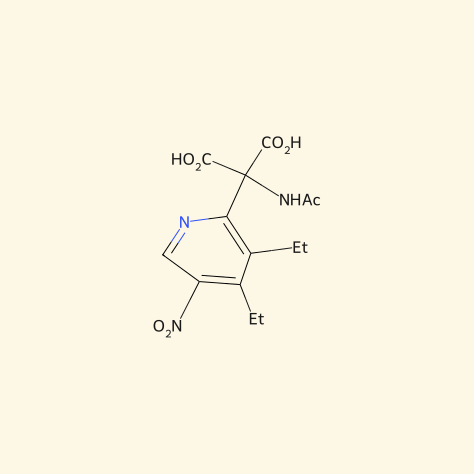 CCc1c([N+](=O)[O-])cnc(C(NC(C)=O)(C(=O)O)C(=O)O)c1CC